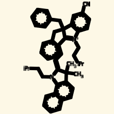 CC(C)CCN1/C(=C/C=C/C2=[N+](CCC(C)C)c3ccc(C#N)cc3C2(Cc2ccccc2)Cc2ccccc2)C(C)(C)c2ccc3ccccc3c21